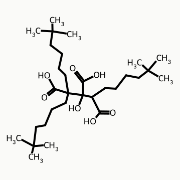 CC(C)(C)CCCCC(C(=O)O)C(O)(C(=O)O)C(CCCCC(C)(C)C)(CCCCC(C)(C)C)C(=O)O